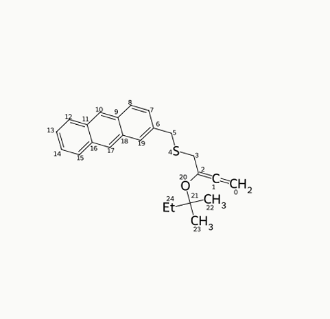 C=C=C(CSCc1ccc2cc3ccccc3cc2c1)OC(C)(C)CC